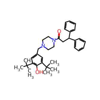 CC(C)(C)c1cc(CN2CCN(C(=O)CC(c3ccccc3)c3ccccc3)CC2)cc(C(C)(C)C)c1O